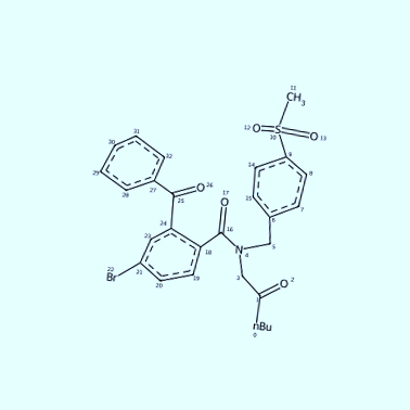 CCCCC(=O)CN(Cc1ccc(S(C)(=O)=O)cc1)C(=O)c1ccc(Br)cc1C(=O)c1ccccc1